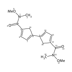 CON(C)C(=O)C1=CC=C(C2=CC=C(C(=O)N(C)OC)C2)C1